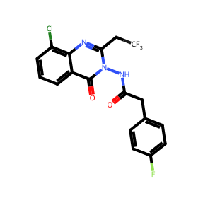 O=C(Cc1ccc(F)cc1)Nn1c(CC(F)(F)F)nc2c(Cl)cccc2c1=O